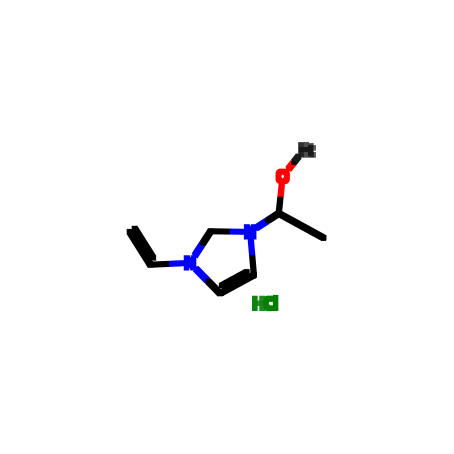 C=CN1C=CN(C(C)OCC)C1.Cl